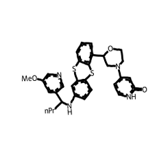 CCCC(Nc1ccc2c(c1)Sc1cccc(C3CN(c4cc[nH]c(=O)c4)CCO3)c1S2)c1cncc(OC)c1